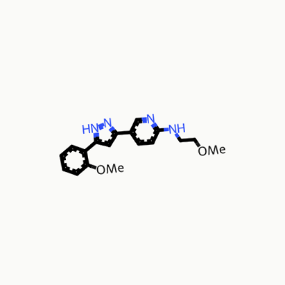 COCCNc1ccc(-c2cc(-c3ccccc3OC)[nH]n2)cn1